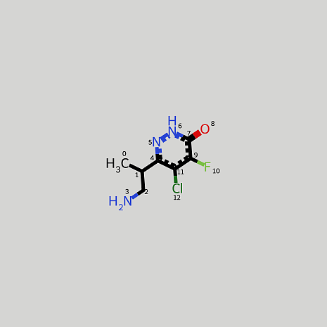 CC(CN)c1n[nH]c(=O)c(F)c1Cl